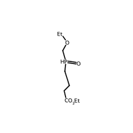 CCOC[PH](=O)CCCC(=O)OCC